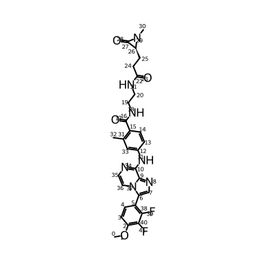 COc1ccc(-c2cnc3c(Nc4ccc(C(=O)NCCNC(=O)CC[C@H]5C(=O)N5C)c(C)c4)nccn23)c(F)c1F